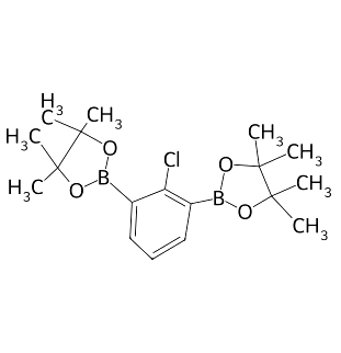 CC1(C)OB(c2cccc(B3OC(C)(C)C(C)(C)O3)c2Cl)OC1(C)C